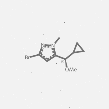 CO[C@@H](c1cc(Br)nn1C)C1CC1